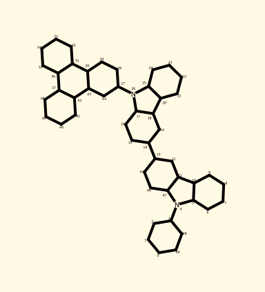 C1CCC(N2C3CCCCC3C3CC(C4CCC5C(C4)C4CCCCC4N5C4CCC5C6CCCCC6C6CCCCC6C5C4)CCC32)CC1